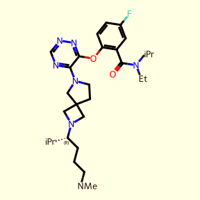 CCN(C(=O)c1cc(F)ccc1Oc1nncnc1N1CCC2(C1)CN([C@H](CCCNC)C(C)C)C2)C(C)C